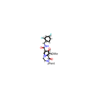 CCCC(C)N1CCn2cc(C(=O)NCc3ccc(F)cc3F)c(=O)c(OC)c2C1=O